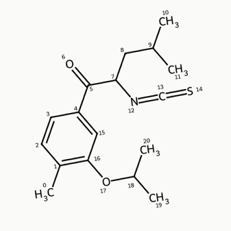 Cc1ccc(C(=O)C(CC(C)C)N=C=S)cc1OC(C)C